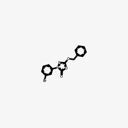 O=c1oc(OCc2ccccc2)nn1-c1cccc(Br)c1